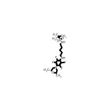 C[C@@H]1CN(c2c(F)c(F)c(NCCCCCNS(=O)(=O)C(C)(C)C)c(F)c2F)C[C@H](C)O1